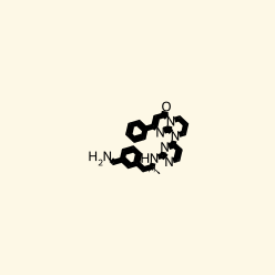 C[C@H](Cc1cccc(CN)c1)Nc1nccc(N2CCCn3c2nc(-c2ccccc2)cc3=O)n1